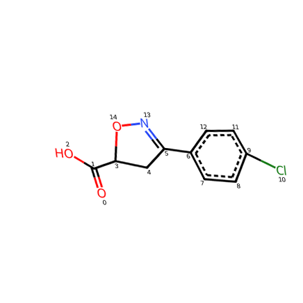 O=C(O)C1CC(c2ccc(Cl)cc2)=NO1